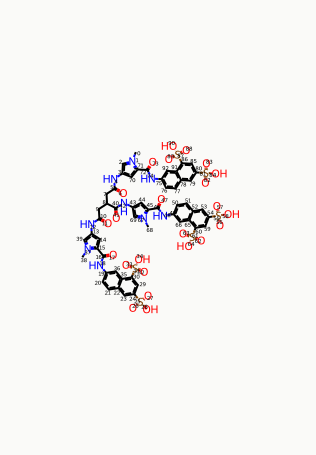 Cn1cc(NC(=O)CC(CC(=O)Nc2cc(C(=O)Nc3ccc4cc(S(=O)(=O)O)cc(S(=O)(=O)O)c4c3)n(C)c2)C(=O)Nc2cc(C(=O)Nc3ccc4cc(S(=O)(=O)O)cc(S(=O)(=O)O)c4c3)n(C)c2)cc1C(=O)Nc1ccc2cc(S(=O)(=O)O)cc(S(=O)(=O)O)c2c1